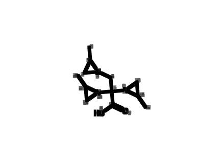 CC1CN1CC(C(=O)O)(N1CC1C)N1CC1C